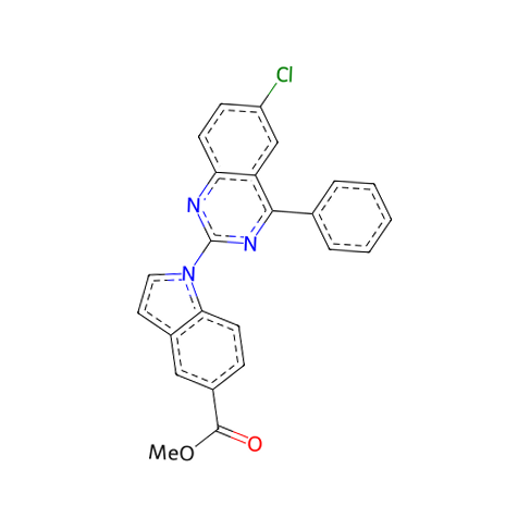 COC(=O)c1ccc2c(ccn2-c2nc(-c3ccccc3)c3cc(Cl)ccc3n2)c1